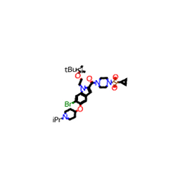 CC(C)N1CCC(Oc2cc3cc(C(=O)N4CCN(S(=O)(=O)C5CC5)CC4)n(CCO[Si](C)(C)C(C)(C)C)c3cc2Br)CC1